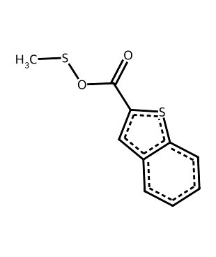 CSOC(=O)c1cc2ccccc2s1